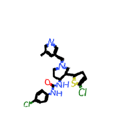 Cc1cncc(CN2CCC(NC(=O)Nc3ccc(Cl)cc3)C(c3ccc(Cl)s3)C2)c1